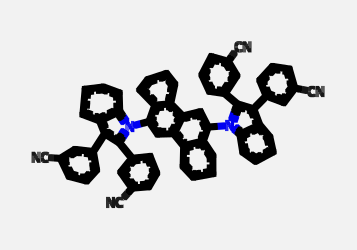 N#Cc1cccc(-c2c(-c3cccc(C#N)c3)n(-c3cc4c5ccccc5c(-n5c(-c6cccc(C#N)c6)c(-c6cccc(C#N)c6)c6ccccc65)cc4c4ccccc34)c3ccccc23)c1